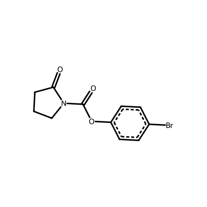 O=C1CCCN1C(=O)Oc1ccc(Br)cc1